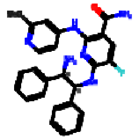 COc1cc(Nc2nc(N[C@@H](c3ccccc3)[C@H](N)c3ccccc3)c(F)cc2C(N)=O)ccn1